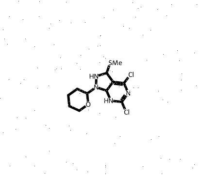 CSC1NN(C2CCCCO2)C2NC(Cl)=NC(Cl)=C12